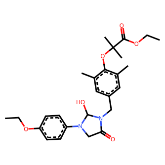 CCOC(=O)C(C)(C)Oc1c(C)cc(CN2C(=O)CN(c3ccc(OCC)cc3)C2O)cc1C